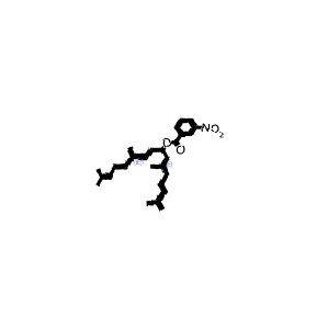 CC(C)=CCC/C(C)=C/CC(/C=C(\C)CCC=C(C)C)OC(=O)c1cccc([N+](=O)[O-])c1